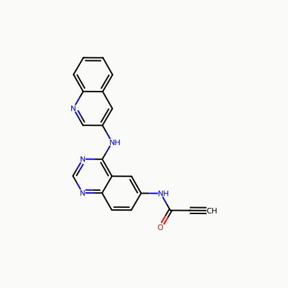 C#CC(=O)Nc1ccc2ncnc(Nc3cnc4ccccc4c3)c2c1